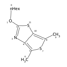 CCCCCCOc1nc2c(C)sc(C)c2s1